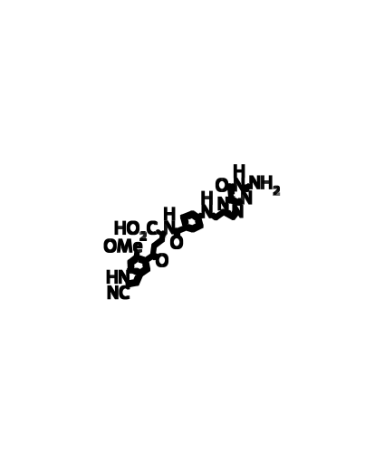 COc1cc2[nH]c(C#N)cc2cc1C(=O)CC[C@H](NC(=O)c1ccc(NCc2cnc3nc(N)[nH]c(=O)c3n2)cc1)C(=O)O